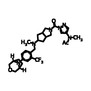 CC(=O)N(C)c1cnn(C(=O)N2CC3CC(N(C)Cc4ccc(N5[C@@H]6CC[C@H]5COC6)cc4C(F)(F)F)CC3C2)c1